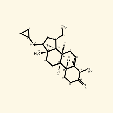 CC[C@@H]1C[C@H](NC2CC2)[C@@]2(C)CC[C@H]3[C@@H](CC=C4N(C)C(=O)CC[C@@]43C)[C@H]12